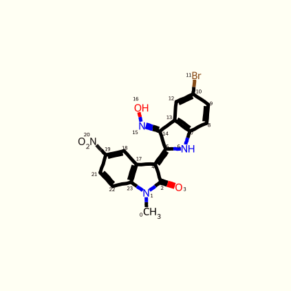 CN1C(=O)/C(=C2\Nc3ccc(Br)cc3\C2=N/O)c2cc([N+](=O)[O-])ccc21